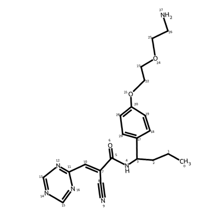 CCCC(NC(=O)/C(C#N)=C/c1ncncn1)c1ccc(OCCOCCN)cc1